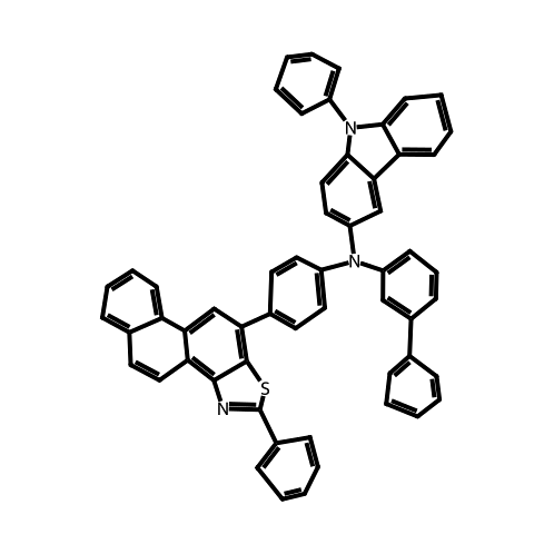 c1ccc(-c2cccc(N(c3ccc(-c4cc5c6ccccc6ccc5c5nc(-c6ccccc6)sc45)cc3)c3ccc4c(c3)c3ccccc3n4-c3ccccc3)c2)cc1